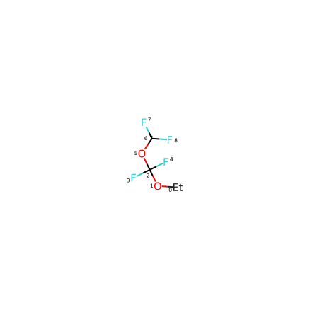 CCOC(F)(F)O[C](F)F